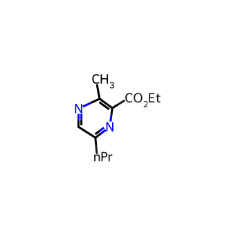 CCCc1cnc(C)c(C(=O)OCC)n1